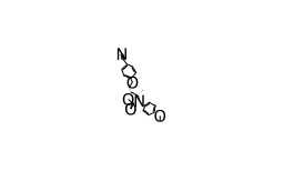 COc1ccc(N2C(=O)O[C@H](COc3ccc(C#N)cc3)[C@@H]2C)cc1